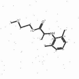 COCCOC(=O)C(C)Nc1c(C)cccc1C